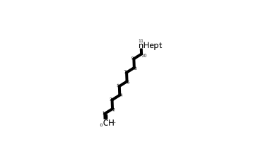 [CH]=CCCCCCCCCCCCCCCCC